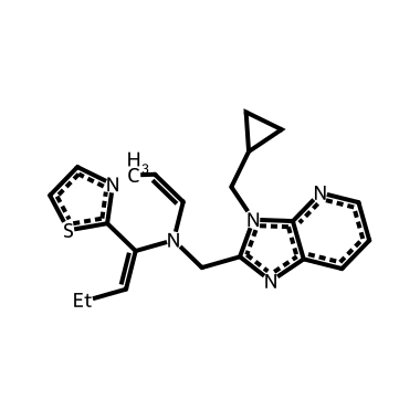 C/C=C\N(Cc1nc2cccnc2n1CC1CC1)/C(=C/CC)c1nccs1